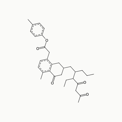 CCCC(CC1CC(=O)c2c(C)ccc(CC(=O)Oc3ccc(C)cc3)c2C1)C(CC)C(=O)CC(C)=O